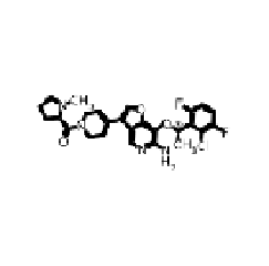 C[C@@H](Oc1c(N)ncc2c(C3=CCN(C(=O)C4CCCN4C)CC3)coc12)c1c(F)ccc(F)c1Cl